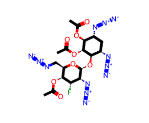 CC(=O)O[C@@H]1[C@@H](OC(C)=O)[C@H](N=[N+]=[N-])C[C@H](N=[N+]=[N-])[C@H]1O[C@H]1O[C@H](CN=[N+]=[N-])[C@@H](OC(C)=O)[C@@H](F)[C@H]1N=[N+]=[N-]